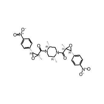 C[C@@H]1CN(C(=O)[C@@]2(C)O[C@@H]2c2ccc([N+](=O)[O-])cc2)[C@H](C)CN1C(=O)[C@@]1(C)O[C@@H]1c1ccc([N+](=O)[O-])cc1